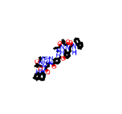 CCC(NC)C(=O)NC(C(=O)N1Cc2cc(OCc3ccc(C(=O)NC4CC(C(=O)NC5CCCc6ccccc65)N(C(=O)C(NC(=O)C(C)NC)C(C)(C)C)C4)cc3)ccc2CC1C(=O)NC1CCCc2ccccc21)C(C)(C)C